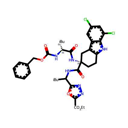 CCOC(=O)c1nnc(C(NC(=O)[C@]2(NC(=O)[C@@H](NC(=O)OCc3ccccc3)[C@@H](C)CC)CCc3[nH]c4c(Cl)cc(Cl)cc4c3C2)C(C)CC)o1